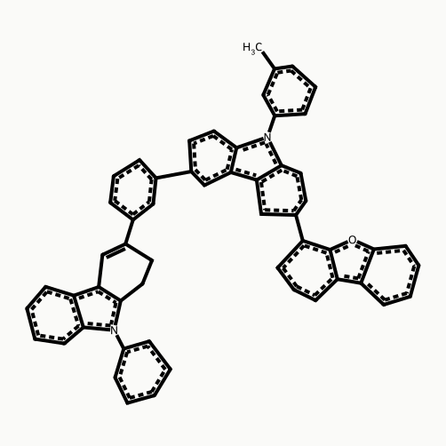 Cc1cccc(-n2c3ccc(-c4cccc(C5=Cc6c(n(-c7ccccc7)c7ccccc67)CC5)c4)cc3c3cc(-c4cccc5c4oc4ccccc45)ccc32)c1